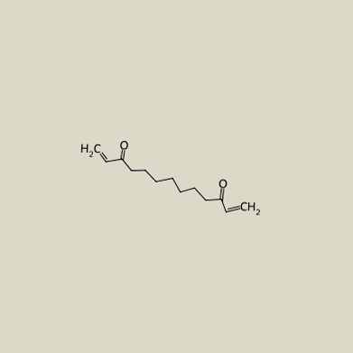 C=CC(=O)CCCCCCCC(=O)C=C